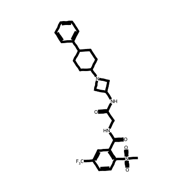 CS(=O)(=O)c1ccc(C(F)(F)F)cc1C(=O)NCC(=O)NC1CN(C2CCC(c3ccccc3)CC2)C1